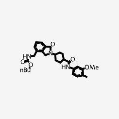 CCCCOC(=O)NCc1cccc2c1CN(C1CCC(C(=O)Nc3ccc(C)c(OC)c3)CC1)C2=O